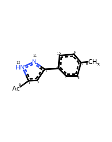 CC(=O)c1cc(-c2ccc(C)cc2)n[nH]1